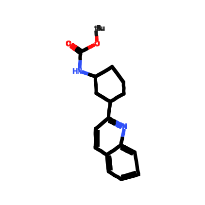 CC(C)(C)OC(=O)NC1CCCC(c2ccc3ccccc3n2)C1